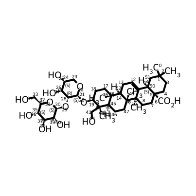 CC1(C)CC[C@]2(C(=O)O)CC[C@]3(C)C(=CC[C@@H]4[C@@]5(C)CC[C@H](O[C@@H]6OC[C@H](O)[C@H](O)[C@H]6O[C@@H]6O[C@H](CO)[C@@H](O)[C@H](O)[C@H]6O)[C@@](C)(CO)[C@@H]5CC[C@]43C)[C@@H]2C1